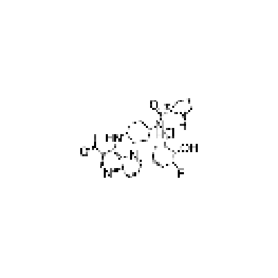 CC(=O)c1cnc2ccc(-c3cc(F)c(O)c(Cl)c3)nc2c1NC1CCC(NC(=O)[C@@H]2CCCN2)CC1